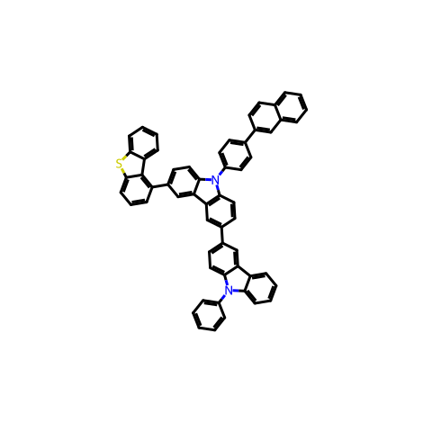 c1ccc(-n2c3ccccc3c3cc(-c4ccc5c(c4)c4cc(-c6cccc7sc8ccccc8c67)ccc4n5-c4ccc(-c5ccc6ccccc6c5)cc4)ccc32)cc1